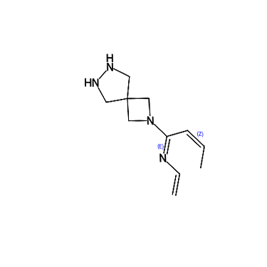 C=C/N=C(\C=C/C)N1CC2(CNNC2)C1